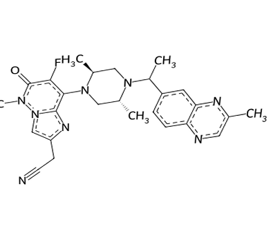 Cc1cnc2ccc(C(C)N3C[C@H](C)N(c4c(F)c(=O)n(C)n5cc(CC#N)nc45)C[C@H]3C)cc2n1